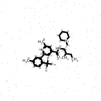 CCC(C)[C@@H](CN1CCCCC1)NC(=O)c1cc(C)nc(-c2cc(C)ccc2C(F)(F)F)c1